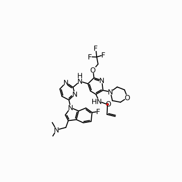 C=CC(=O)Nc1cc(Nc2nccc(-n3cc(CN(C)C)c4ccc(F)cc43)n2)c(OCC(F)(F)F)nc1N1CCOCC1